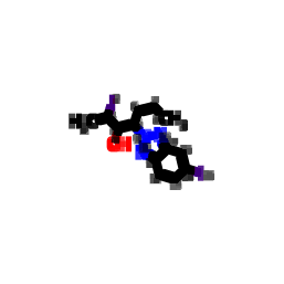 C=C(I)/C(O)=C(\C=C/C)n1nc2ccc(I)cc2n1